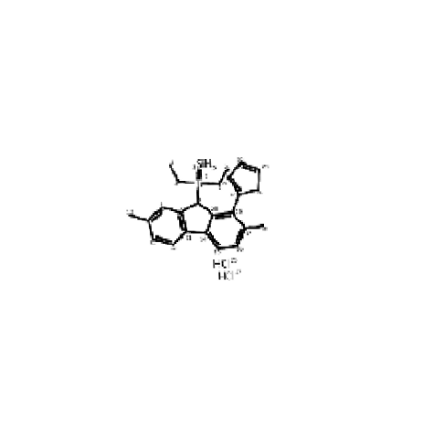 C[CH2][Ti](=[SiH2])([CH2]C)[CH]1c2cc(C)ccc2-c2ccc(C)c(C3=CC=CC3)c21.Cl.Cl